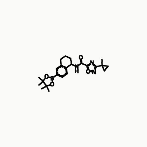 CC1(c2noc(C(=O)NC3CCCc4cc(B5OC(C)(C)C(C)(C)O5)ccc43)n2)CC1